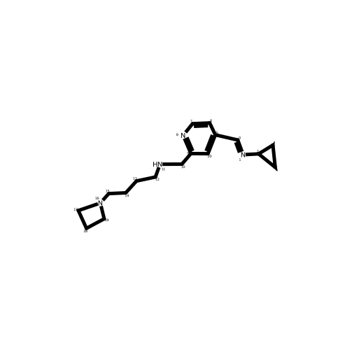 C(=N\C1CC1)/c1ccnc(CNCCCCN2CCC2)c1